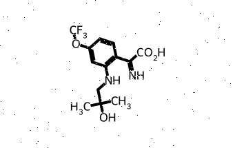 CC(C)(O)CNc1cc(OC(F)(F)F)ccc1C(=N)C(=O)O